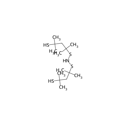 CC(C)(S)CC(C)(C)SNSC(C)(C)CC(C)(C)S